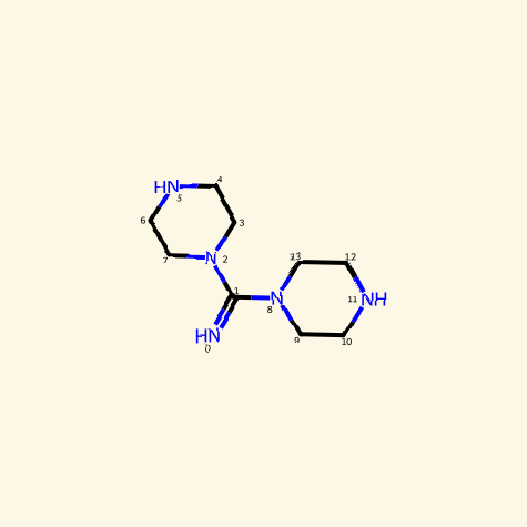 N=C(N1CCNCC1)N1CCNCC1